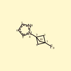 FC12CC(n3cccn3)(C1)C2